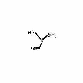 O=CN([SiH3])[SiH3]